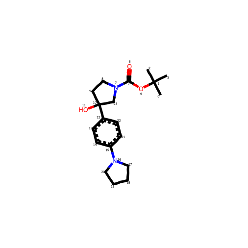 CC(C)(C)OC(=O)N1CCC(O)(c2ccc(N3CCCC3)cc2)C1